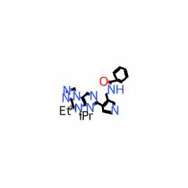 CC[C@@H]1c2nncn2-c2cnc(-c3ccncc3CNC(=O)c3ccccc3)nc2N1C(C)C